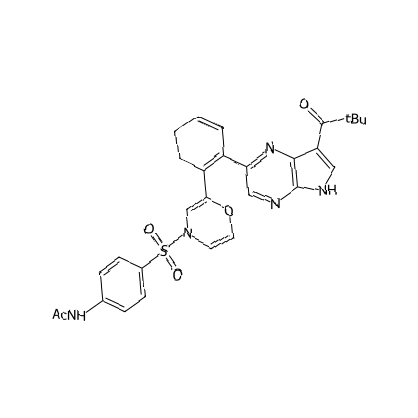 CC(=O)Nc1ccc(S(=O)(=O)N2C=COC(C3=C(c4cnc5[nH]cc(C(=O)C(C)(C)C)c5n4)C=CCC3)=C2)cc1